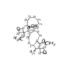 CCC1(C(OC)C2CCCCC(C(OC)C3(CC)COC3)C(C3CCCCCCCC3)CC2)COC1